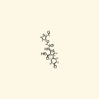 O=Cc1sccc1OCC(=O)Nc1scc(-c2ccc(Cl)cc2)c1C(=O)O